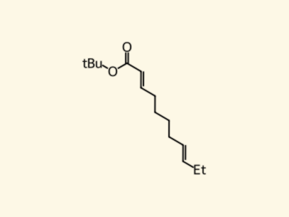 CCC=CCCCCC=CC(=O)OC(C)(C)C